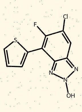 On1nc2cc(Cl)c(F)c(-c3cccs3)c2n1